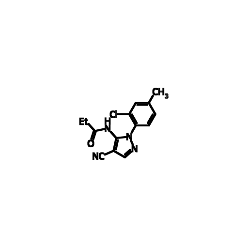 CCC(=O)Nc1c(C#N)cnn1-c1ccc(C)cc1Cl